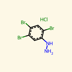 Cl.NNc1cc(Br)c(Br)cc1Br